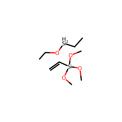 C=C[Si](OC)(OC)OC.CCO[SiH2]CC